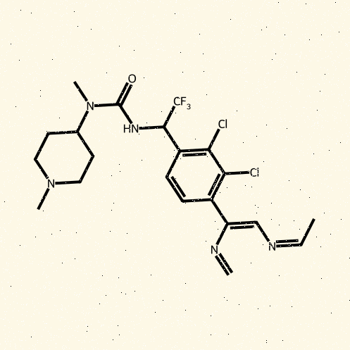 C=N/C(=C\N=C/C)c1ccc(C(NC(=O)N(C)C2CCN(C)CC2)C(F)(F)F)c(Cl)c1Cl